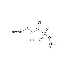 CCCCCOC(=O)C(Cl)C(Cl)(Cl)O[C]=O